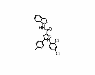 Cc1ccc(C2CC(C(=O)NN3CCc4ccccc43)=NN2c2ccc(Cl)cc2Cl)cc1